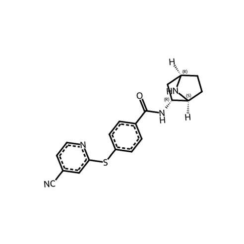 N#Cc1ccnc(Sc2ccc(C(=O)N[C@@H]3C[C@H]4CC[C@@H]3N4)cc2)c1